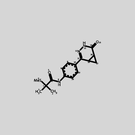 CSC(C)(C)C(=O)Nc1ccc(C2=NNC(=O)C3CC23)cc1